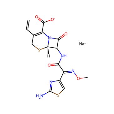 C=CC1=C(C(=O)[O-])N2C(=O)C(NC(=O)C(=NOC)c3csc(N)n3)[C@@H]2SC1.[Na+]